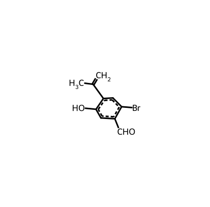 C=C(C)c1cc(Br)c(C=O)cc1O